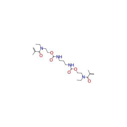 C=C(C)C(=O)N(CC)CCOC(=O)NCCCNC(=O)OCCN(CC)C(=O)C(=C)C